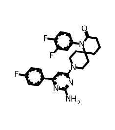 Nc1nc(-c2ccc(F)cc2)cc(N2CCC3(CCCC(=O)N3c3ccc(F)c(F)c3)CC2)n1